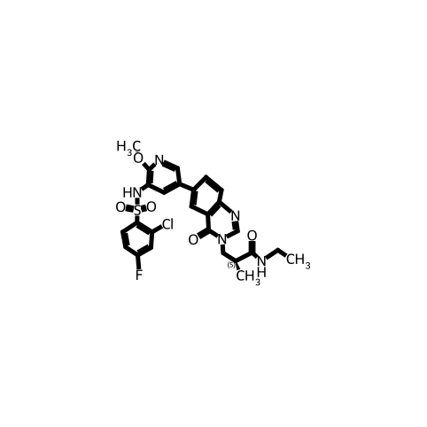 CCNC(=O)[C@@H](C)Cn1cnc2ccc(-c3cnc(OC)c(NS(=O)(=O)c4ccc(F)cc4Cl)c3)cc2c1=O